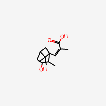 CC(=CC12CC(CC(O)C1C)C2(C)C)C(=O)O